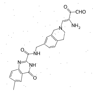 Cc1ccc2nc(C(=O)NCc3ccc4c(c3)CN(/C=C(\N)C(=O)C=O)CC4)[nH]c(=O)c2c1